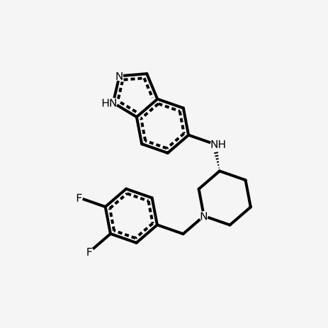 Fc1ccc(CN2CCC[C@@H](Nc3ccc4[nH]ncc4c3)C2)cc1F